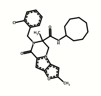 Cc1cc2c(cc3n2CC(C)(C(=O)NC2CCCCCCC2)N(Cc2ccccc2Cl)C3=O)o1